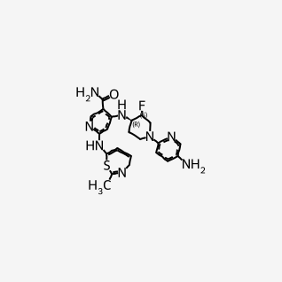 CC1=NCC=C=C(Nc2cc(N[C@@H]3CCN(c4ccc(N)cn4)C[C@@H]3F)c(C(N)=O)cn2)S1